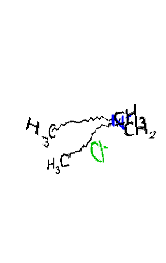 C=CC[N+](C)(CCCCCCCCCCCCCCCC)CCCCCCCCCCCCCCCC.[Cl-]